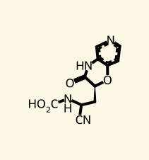 N#CC(C[C@@H]1Oc2ccncc2NC1=O)NC(=O)O